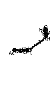 CC(=O)c1cccc(COc2ccc(C(C)(C)c3ccc(OCCCCCCCCOCCCCNc4ccc5c(c4)C(=O)N(C4CCC(=O)NC4=O)C5=O)cc3)cc2)n1